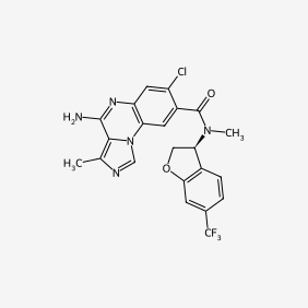 Cc1ncn2c1c(N)nc1cc(Cl)c(C(=O)N(C)[C@@H]3COc4cc(C(F)(F)F)ccc43)cc12